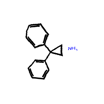 N.c1ccc(C2(c3ccccc3)CC2)cc1